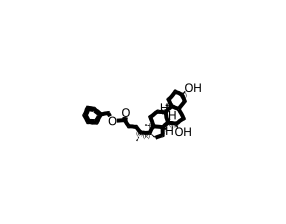 C[C@H](CCC(=O)OCc1ccccc1)[C@H]1CC[C@H]2[C@@H]3[C@@H](O)CC4C[C@@H](O)CC[C@]4(C)[C@H]3CC[C@]12C